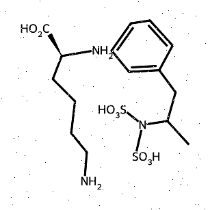 CC(Cc1ccccc1)N(S(=O)(=O)O)S(=O)(=O)O.NCCCC[C@H](N)C(=O)O